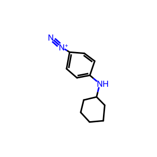 N#[N+]c1ccc(NC2CCCCC2)cc1